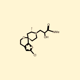 CNC(=O)C(O)CN1CC[C@]2(C[C@@H]1C)OCCc1cc(Cl)sc12